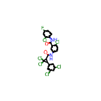 O=C(Nc1ccc(F)cc1Cl)c1cc(NC(=O)C2C(c3cc(Cl)cc(Cl)c3)C2(Cl)Cl)ccc1Cl